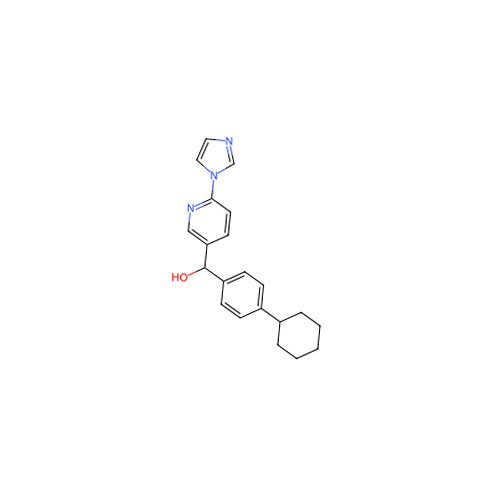 OC(c1ccc(C2CCCCC2)cc1)c1ccc(-n2ccnc2)nc1